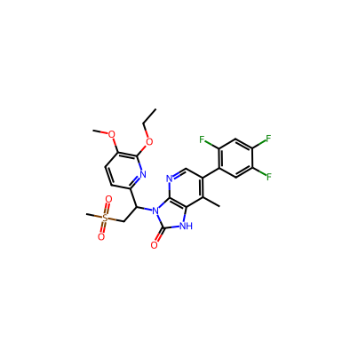 CCOc1nc(C(CS(C)(=O)=O)n2c(=O)[nH]c3c(C)c(-c4cc(F)c(F)cc4F)cnc32)ccc1OC